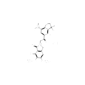 Br.COc1cc2c(c(F)c1OC)C(=N)N(CC(=O)c1cc(N(C)C)c3c(c1)C(C)(C)CO3)C2